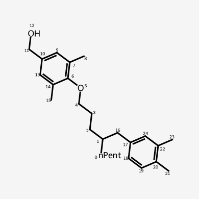 CCCCCC(CCCOc1c(C)cc(CO)cc1C)Cc1ccc(C)c(C)c1